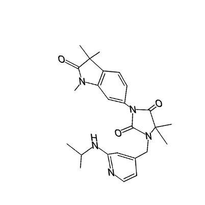 CC(C)Nc1cc(CN2C(=O)N(c3ccc4c(c3)N(C)C(=O)C4(C)C)C(=O)C2(C)C)ccn1